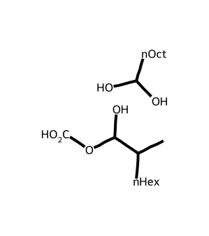 CCCCCCC(C)C(O)OC(=O)O.CCCCCCCCC(O)O